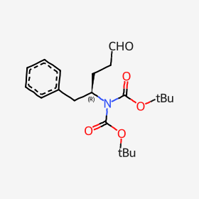 CC(C)(C)OC(=O)N(C(=O)OC(C)(C)C)[C@H](CCC=O)Cc1ccccc1